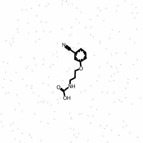 N#Cc1cccc(OCCCNC(=O)O)c1